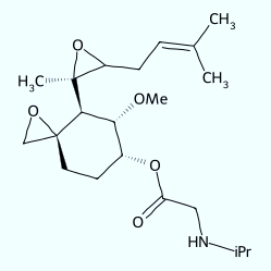 CO[C@@H]1[C@H](OC(=O)CNC(C)C)CC[C@]2(CO2)[C@H]1[C@@]1(C)OC1CC=C(C)C